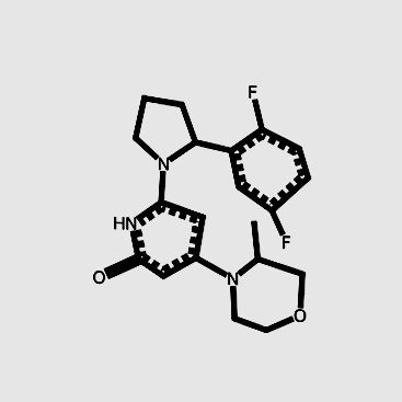 CC1COCCN1c1cc(N2CCCC2c2cc(F)ccc2F)[nH]c(=O)c1